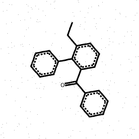 CCc1cccc(C(=O)c2ccccc2)c1-c1ccccc1